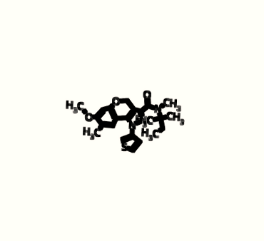 CCC(C)(C)N(C)C(=O)c1nn(-c2ccsc2)c2c1COc1cc(OC)c(C)cc1-2